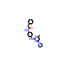 Cc1cc(N2CCCC2)nc(Nc2ccc(NC(=O)Cc3ccccc3)cc2)n1